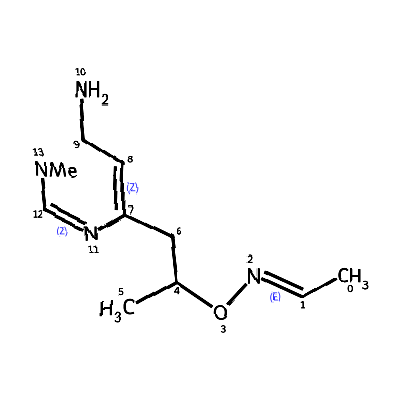 C/C=N/OC(C)CC(=C/CN)/N=C\NC